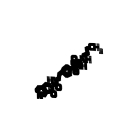 CCCCNC(=O)NS(=O)(=O)c1ccc(CCNC(=O)N2Cc3ccncc3C2=O)cc1